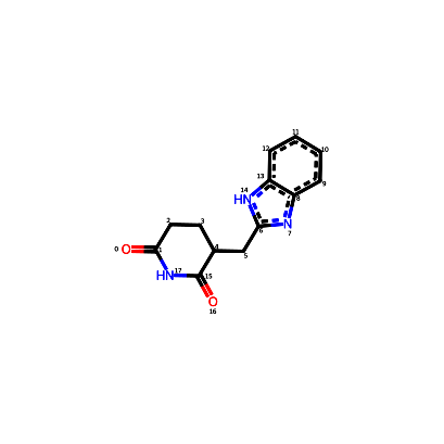 O=C1CCC(Cc2nc3ccccc3[nH]2)C(=O)N1